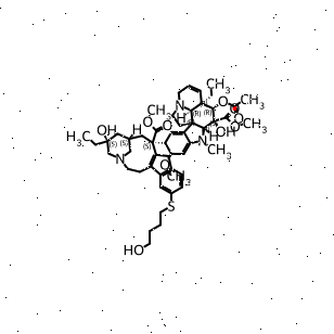 CC[C@]1(O)C[C@H]2CN(CCC3=C(Cc4ccc(SCCCCO)cc43)[C@@](C(=O)OC)(C3C=C4C(=CC3OC)N(C)[C@H]3[C@@](O)(C(=O)OC)[C@H](OC(C)=O)[C@]5(CC)C=CCN6CC[C@]43[C@@H]65)C2)C1